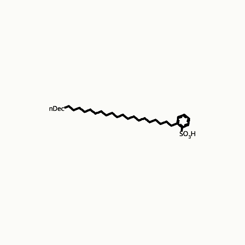 CCCCCCCCCCCCCCCCCCCCCCCCCCCCCCc1ccccc1S(=O)(=O)O